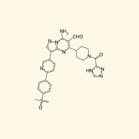 C=S(C)(=O)c1ccc(-c2ccc(-c3cnn4c(N)c(C=O)c(C5CCN(C(=O)c6nnc[nH]6)CC5)nc34)cn2)cc1